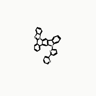 c1ccc(-c2cccc(-n3c4ccccc4c4cc5c(cc43)c3ccccc3c3nc4ccccc4n53)n2)nc1